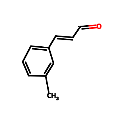 Cc1cccc(C=C[C]=O)c1